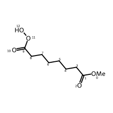 COC(=O)CCCCCCC(=O)OO